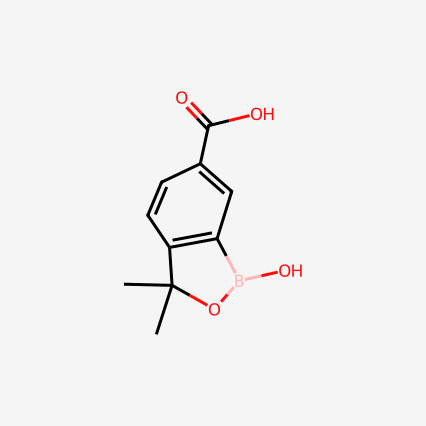 CC1(C)OB(O)c2cc(C(=O)O)ccc21